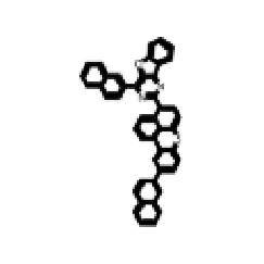 c1ccc2cc(-c3ccc4c(c3)-c3cccc5c(-c6nc(-c7ccc8ccccc8c7)c7oc8ccccc8c7n6)ccc(c35)S4)ccc2c1